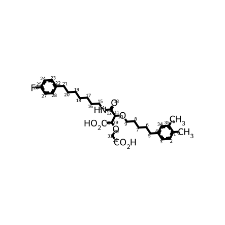 Cc1ccc(CCCCCOC(C(=O)NCCCCCCCc2ccc(F)cc2)C(OCC(=O)O)C(=O)O)cc1C